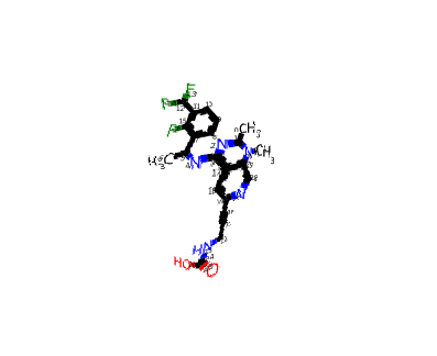 Cc1nc(=NC(C)c2cccc(C(F)F)c2F)c2cc(C#CCNC(=O)O)ncc2n1C